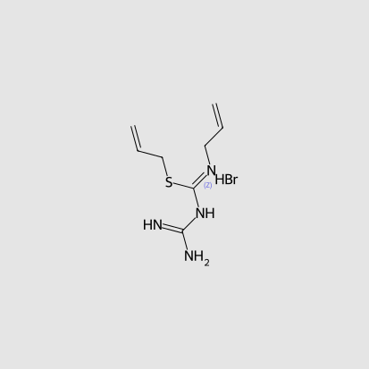 Br.C=CC/N=C(/NC(=N)N)SCC=C